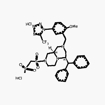 COc1ccc(-n2nnnc2C(F)(F)F)cc1CN1C[C@@H]2CN(S(=O)(=O)CS(C)(=O)=O)CCN2[C@H](C(c2ccccc2)c2ccccc2)C1.Cl.Cl